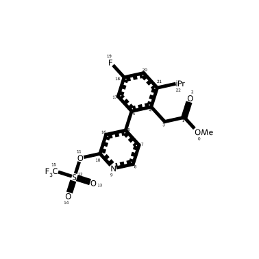 COC(=O)Cc1c(-c2ccnc(OS(=O)(=O)C(F)(F)F)c2)cc(F)cc1C(C)C